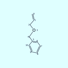 C=CCO[CH]c1ccccc1